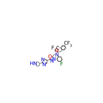 O=C(Cc1ccc(C(F)(F)F)cc1C(F)(F)F)N(Cc1nnc(-c2cnc(C3CCNC3)nc2)o1)c1ccc(F)cc1